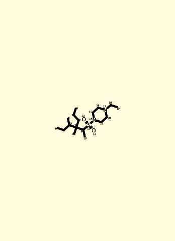 CCCC(C)(C(C)CC)C(C)S(=O)(=O)N1CCN(CC)CC1